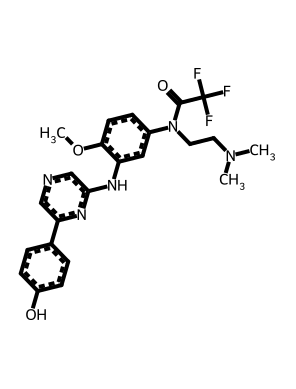 COc1ccc(N(CCN(C)C)C(=O)C(F)(F)F)cc1Nc1cncc(-c2ccc(O)cc2)n1